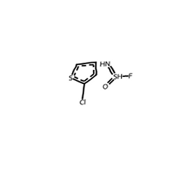 Clc1cccs1.N=[SH](=O)F